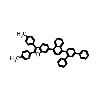 Cc1ccc(-c2oc3cc(-c4ccc(-c5ccc(-c6ccccc6)cc5-c5ccccc5)c5ccccc45)ccc3c2-c2ccc(C)cc2)cc1